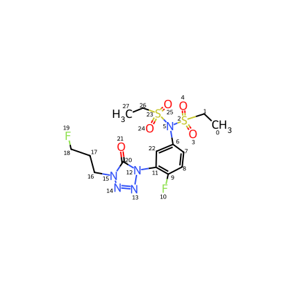 CCS(=O)(=O)N(c1ccc(F)c(-n2nnn(CCCF)c2=O)c1)S(=O)(=O)CC